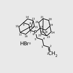 Br.C=CCCCP(C12CC3CC(CC(C3)C1)C2)C12CC3CC(CC(C3)C1)C2